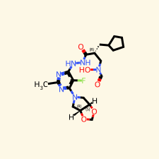 Cc1nc(NNC(=O)[C@H](CC2CCCC2)CN(O)C=O)c(F)c(N2C[C@@H]3OCO[C@@H]3C2)n1